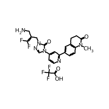 CN1C(=O)CCc2cc(-c3cc(-n4cnn(CC(CN)=C(F)F)c4=O)ccn3)ccc21.O=C(O)C(F)(F)F